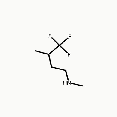 [CH2]NCCC(C)C(F)(F)F